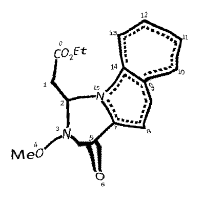 CCOC(=O)CC1N(OC)C(=O)c2cc3ccccc3n21